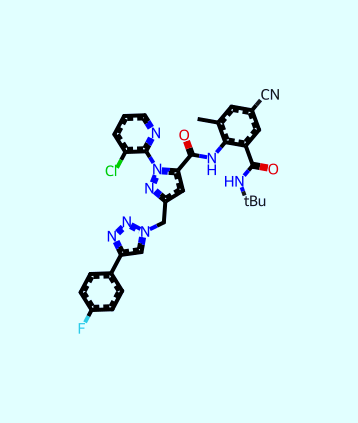 Cc1cc(C#N)cc(C(=O)NC(C)(C)C)c1NC(=O)c1cc(Cn2cc(-c3ccc(F)cc3)nn2)nn1-c1ncccc1Cl